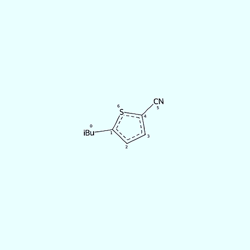 CCC(C)c1ccc(C#N)s1